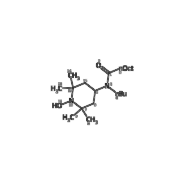 CCCCCCCCC(=O)N(CCCC)C1CC(C)(C)N(O)C(C)(C)C1